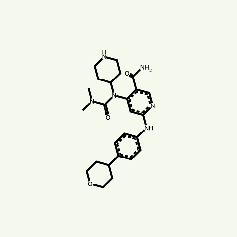 CN(C)C(=O)N(c1cc(Nc2ccc(C3CCOCC3)cc2)ncc1C(N)=O)C1CCNCC1